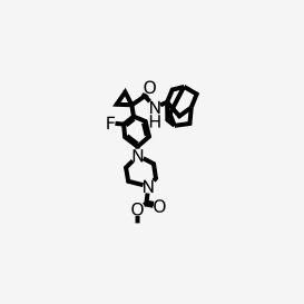 COC(=O)N1CCN(c2ccc(C3(C(=O)NC45CC6CC(CC(C6)C4)C5)CC3)c(F)c2)CC1